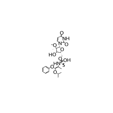 CO[C@]1(C)[C@H](O)[C@@H](CO[P@](O)(=S)NC(C)=C(Oc2ccccc2)OC(C)C)O[C@H]1n1ccc(=O)[nH]c1=O